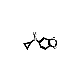 CCN(c1ccc2c(c1)OCO2)C1CC1